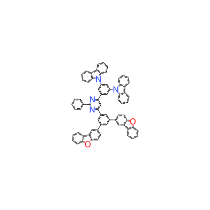 c1ccc(-c2nc(-c3cc(-c4ccc5oc6ccccc6c5c4)cc(-c4ccc5oc6ccccc6c5c4)c3)cc(-c3cc(-n4c5ccccc5c5ccccc54)cc(-n4c5ccccc5c5ccccc54)c3)n2)cc1